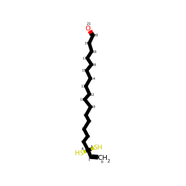 C=CC(S)(S)CCCCCCCCCCCCCCCC=O